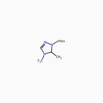 CCCCCCN1N=CN(C(F)(F)F)C1C